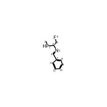 CP[C@@H](CF)/N=C/c1ccccc1